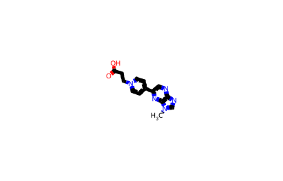 Cn1cnc2ncc(-c3cc[n+](CCC(=O)O)cc3)nc21